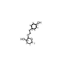 C[C@@H]1CC[C@@H](O)[C@@H](OCCc2ccc(O)cc2)O1